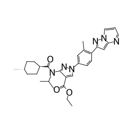 CCOC(=O)c1cn(-c2ccc(-c3cc4ncccn4n3)c(C)c2)nc1N(C(=O)[C@H]1CC[C@H](C)CC1)C(C)C